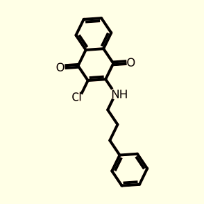 O=C1C(Cl)=C(NCCCc2ccccc2)C(=O)c2ccccc21